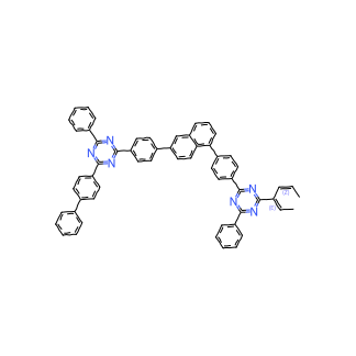 C/C=C\C(=C/C)c1nc(-c2ccccc2)nc(-c2ccc(-c3cccc4cc(-c5ccc(-c6nc(-c7ccccc7)nc(-c7ccc(-c8ccccc8)cc7)n6)cc5)ccc34)cc2)n1